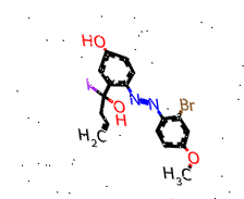 C=CCC(O)(I)c1cc(O)ccc1N=Nc1ccc(OC)cc1Br